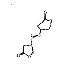 O=C1CC(SSC2COC(=O)C2)CO1